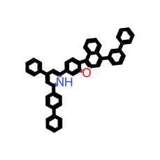 C1=C(c2ccccc2)C=C(c2ccc3c(c2)oc2cc(-c4cccc(-c5ccccc5)c4)c4ccccc4c23)NC1c1ccc(-c2ccccc2)cc1